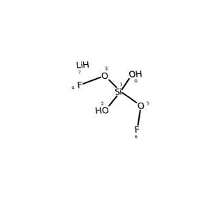 O[Si](O)(OF)OF.[LiH]